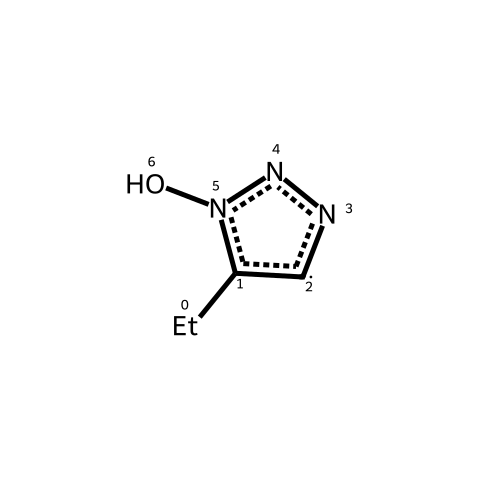 CCc1[c]nnn1O